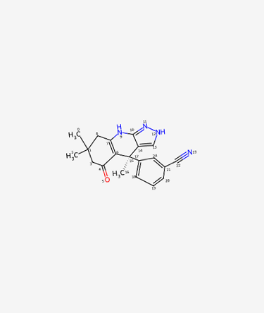 CC1(C)CC(=O)C2=C(C1)Nc1n[nH]cc1[C@@]2(C)c1cccc(C#N)c1